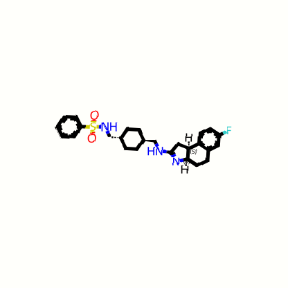 O=S(=O)(NC[C@H]1CC[C@H](CNC2=N[C@@H]3CCc4cc(F)ccc4[C@@H]3C2)CC1)c1ccccc1